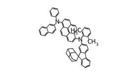 Cc1cccc(C)c1N(c1ccc2c(c1)C1(c3ccccc3-2)C2CC3CC(C2)CC1C3)c1ccc2ccc3c(N(c4ccccc4)c4ccc5ccccc5c4)ccc4ccc1c2c43